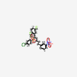 O=[N+]([O-])c1cc[c]c(CCCCC(c2cc(F)ccc2F)S(=O)(=O)c2ccc(Cl)cc2)c1